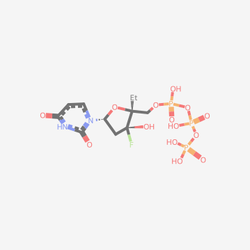 CC[C@]1(COP(=O)(O)OP(=O)(O)OP(=O)(O)O)O[C@@H](n2ccc(=O)[nH]c2=O)C[C@@]1(O)F